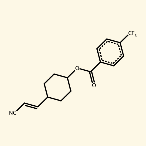 N#C/C=C/C1CCC(OC(=O)c2ccc(C(F)(F)F)cc2)CC1